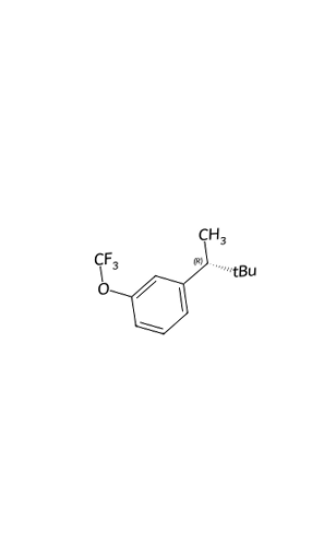 C[C@@H](c1cccc(OC(F)(F)F)c1)C(C)(C)C